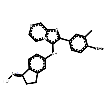 COc1ccc(-c2nc3cnccn3c2Nc2ccc3c(c2)CC/C3=N\O)cc1C